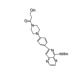 CNc1nc(-c2ccc(N3CCN(C(=O)CCO)CC3)cc2)cc2nccnc12